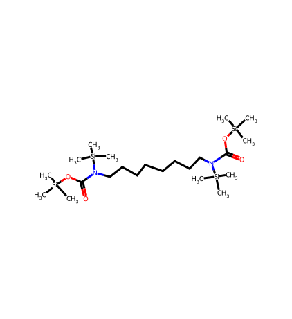 C[Si](C)(C)OC(=O)N(CCCCCCCCN(C(=O)O[Si](C)(C)C)[Si](C)(C)C)[Si](C)(C)C